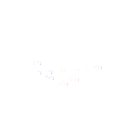 C[C@@H](OC(=O)OC[C@H]1O[C@@](C#N)(c2ccc3c(N)ncnn23)[C@H](O)[C@@H]1O)C1CCCCC1